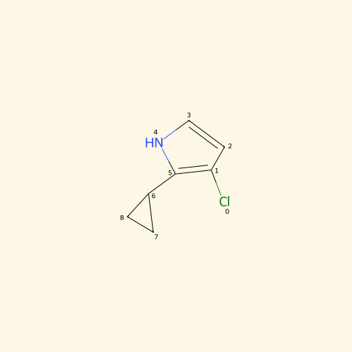 Clc1cc[nH]c1C1CC1